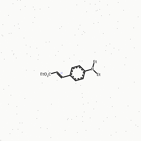 CCOC(=O)/C=C/c1ccc(N(CC)CC)cc1